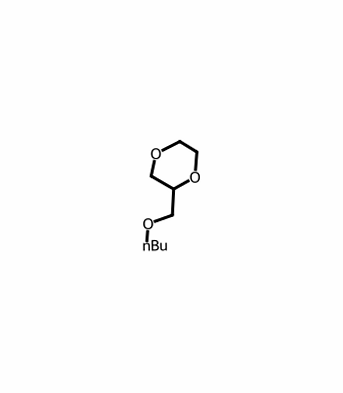 CCCCOCC1COCCO1